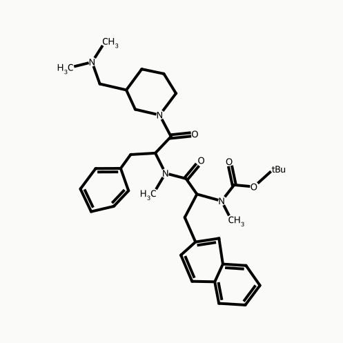 CN(C)CC1CCCN(C(=O)C(Cc2ccccc2)N(C)C(=O)C(Cc2ccc3ccccc3c2)N(C)C(=O)OC(C)(C)C)C1